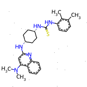 Cc1cccc(NC(=S)N[C@H]2CC[C@@H](Nc3cc(N(C)C)c4ccccc4n3)CC2)c1C